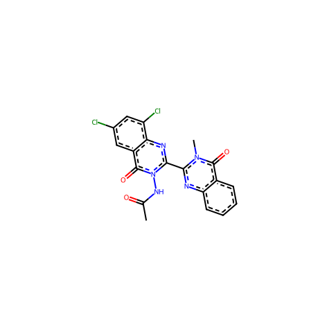 CC(=O)Nn1c(-c2nc3ccccc3c(=O)n2C)nc2c(Cl)cc(Cl)cc2c1=O